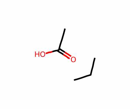 CC(=O)O.CCC